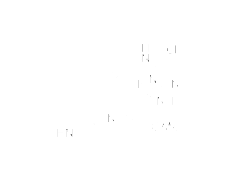 COc1cc(N2CC3(CCNCC3)C2)c(C)cc1Nc1ncc(Cl)c(Nc2cc(C)c(C)cc2P(C)(C)=O)n1